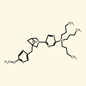 CCC[CH2][Sn]([CH2]CCC)([CH2]CCC)[c]1cnc(N2CC3CC(Cc4ccc(OC)nc4)(C2)N3)cn1